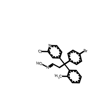 Cc1ccccc1C(CC=NO)(c1ccc(Br)cc1)c1ccnc(Cl)c1